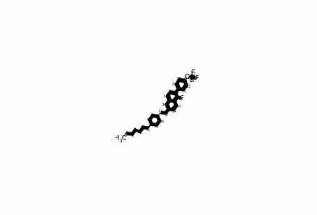 CCCCCCC[C@H]1CC[C@H](CCc2ccc3c(F)c(-c4ccc(OC(F)(F)F)cc4)ccc3c2)CC1